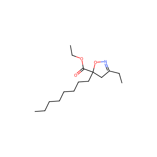 CCCCCCCCC1(C(=O)OCC)CC(CC)=NO1